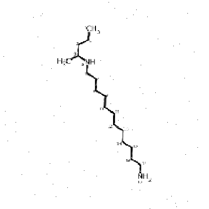 CCCC(C)NCCCCCCCCCCCCN